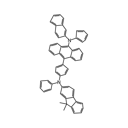 CC1(C)c2ccccc2-c2ccc(N(c3ccccc3)c3ccc(-c4c5ccccc5c(N(c5ccccc5)c5ccc6ccccc6c5)c5ccccc45)cc3)cc21